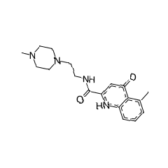 Cc1cccc2[nH]c(C(=O)NCCN3CCN(C)CC3)cc(=O)c12